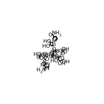 NC(=O)c1ccc[n+]([C@@H]2O[C@H](COP(=O)([O-])OP(=O)(O)OC[C@H]3O[C@@H](n4cnc5c(N)ncnc54)[C@H](OP(=O)(O)O)[C@@H]3O)[C@@H](O)[C@H]2O)c1.O=P(O)(O)OC[C@H]1O[C@H](O)[C@H](O)[C@@H](O)[C@@H]1O